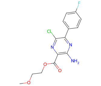 COCCOC(=O)c1nc(Cl)c(-c2ccc(F)cc2)nc1N